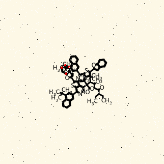 CCC(CC)C(=O)CC(=O)C(CC)C(C(=O)O)(c1cnc(-c2cc(C(C)(C)C)c3ccccc3c2)c2sc(-c3cc4ccccc4o3)c(C)c12)c1cnc(-c2cc(C(C)(C)C)c3ccccc3c2)c2sc(-c3cc4ccccc4o3)c(C)c12